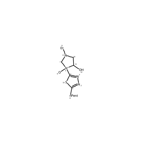 CCCCCc1nnc([N+]2([O-])CN(CC)CC2O)s1